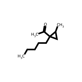 CCCCCC1(C(C)=O)CC1C